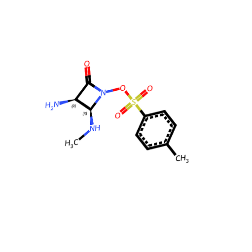 CN[C@H]1[C@@H](N)C(=O)N1OS(=O)(=O)c1ccc(C)cc1